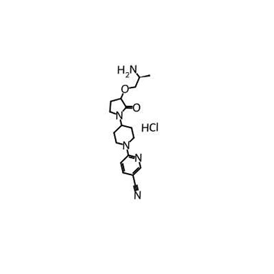 C[C@H](N)COC1CCN(C2CCN(c3ccc(C#N)cn3)CC2)C1=O.Cl